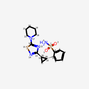 NS(=O)(=O)c1ccccc1[C@@H]1C[C@H]1c1nsc(N2CCCCC2)n1